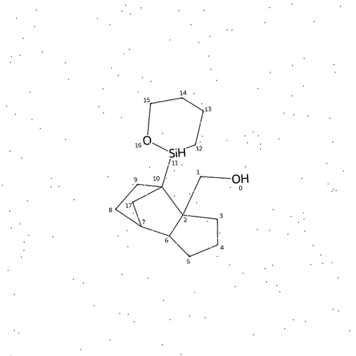 OCC12CCCC1C1CCC2([SiH]2CCCCO2)C1